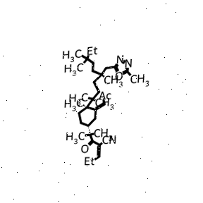 CC/C=C(/C#N)C(=O)C(C)(C)[C@@H]1CC[C@@](C)(C(C)(C)CC[C@](C)(CCC(C)(C)CC)Cc2nnc(C)o2)/C(=C\C(C)=O)C1